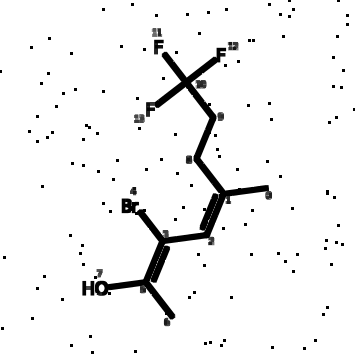 CC(=C/C(Br)=C(\C)O)CCC(F)(F)F